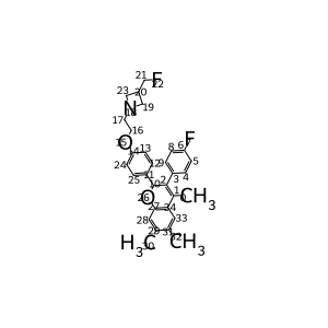 CC1=C(c2ccc(F)cc2)C(c2ccc(OCCN3CC(CF)C3)cc2)Oc2cc(C)c(C)cc21